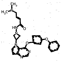 CN(C)C/C=C/C(=O)NN1CC(n2ccc3ncnc(Oc4ccc(Oc5ccccc5)cc4)c32)C1